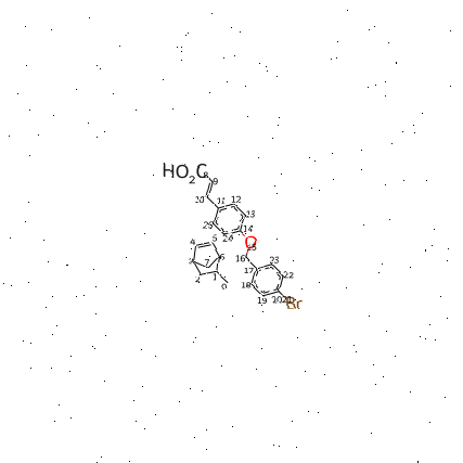 CC1CC2C=CC1C2.O=C(O)C=Cc1ccc(OCc2ccc(Br)cc2)cc1